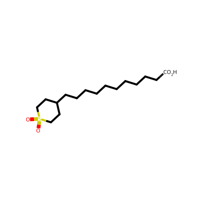 O=C(O)CCCCCCCCCCC1CCS(=O)(=O)CC1